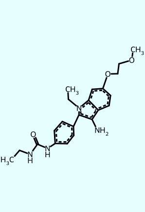 CCNC(=O)Nc1ccc(-c2c(N)c3ccc(OCCOC)cc3n2CC)cc1